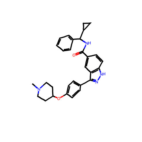 CN1CCC(Oc2ccc(-c3n[nH]c4ccc(C(=O)NC(c5ccccc5)C5CC5)cc34)cc2)CC1